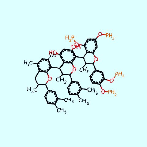 Cc1ccc(C2Oc3c(c(C)c[c]([Mo])c3C3c4c(O)cc(O)c(C5c6c(OP)cc(OP)cc6OC(c6ccc(OP)c(OP)c6)C5C)c4OC(c4ccc(C)c(C)c4)C3C)CC2C)cc1C